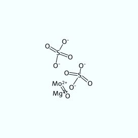 O=S(=O)([O-])[O-].O=S(=O)([O-])[O-].[Mg+2].[O]=[Mo+2]